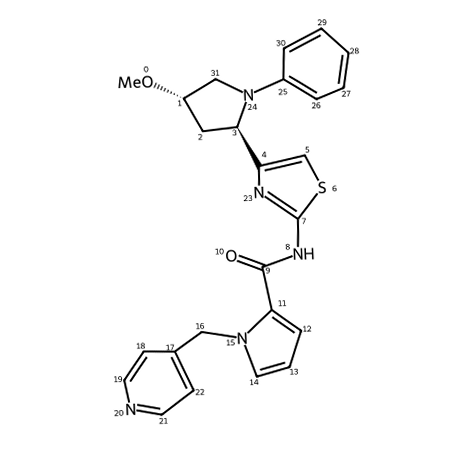 CO[C@H]1C[C@H](c2csc(NC(=O)c3cccn3Cc3ccncc3)n2)N(c2ccccc2)C1